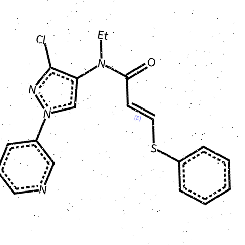 CCN(C(=O)/C=C/Sc1ccccc1)c1cn(-c2cccnc2)nc1Cl